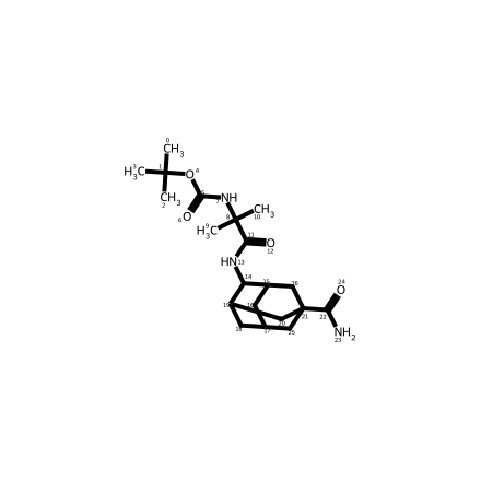 CC(C)(C)OC(=O)NC(C)(C)C(=O)NC1C2CC3CC1CC(C(N)=O)(C3)C2